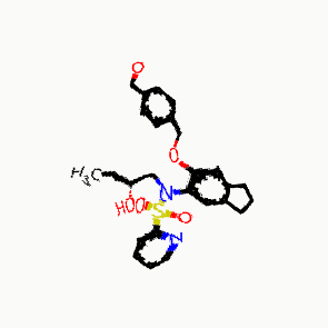 CC[C@@H](O)CN(c1cc2c(cc1OCc1ccc(C=O)cc1)CCC2)S(=O)(=O)c1ccccn1